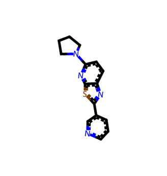 c1cncc(-c2nc3ccc(N4CCCC4)nc3s2)c1